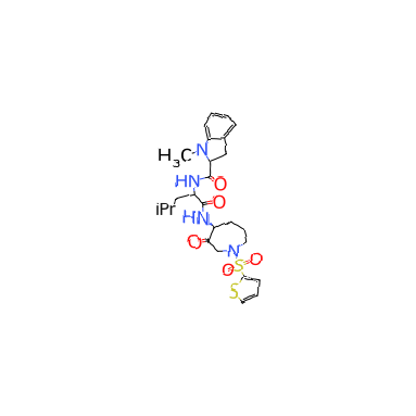 CC(C)CC(NC(=O)C1Cc2ccccc2N1C)C(=O)N[C@H]1CCCN(S(=O)(=O)c2cccs2)CC1=O